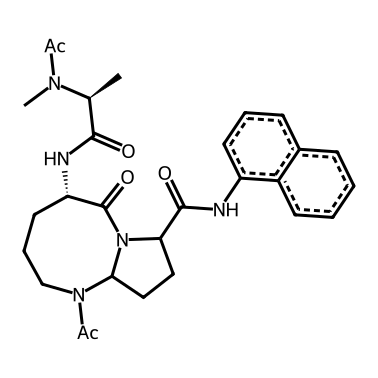 CC(=O)N1CCC[C@H](NC(=O)[C@H](C)N(C)C(C)=O)C(=O)N2C(C(=O)Nc3cccc4ccccc34)CCC12